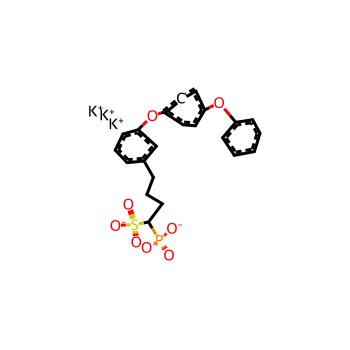 O=P([O-])([O-])C(CCCc1cccc(Oc2ccc(Oc3ccccc3)cc2)c1)S(=O)(=O)[O-].[K+].[K+].[K+]